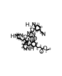 CCOC(=O)CCc1cc(Oc2nc(Oc3cc(C#N)ccc3N)nc3c2NC(=O)C(Cc2c[nH]cn2)O3)cc(C2N=CCCN2)c1